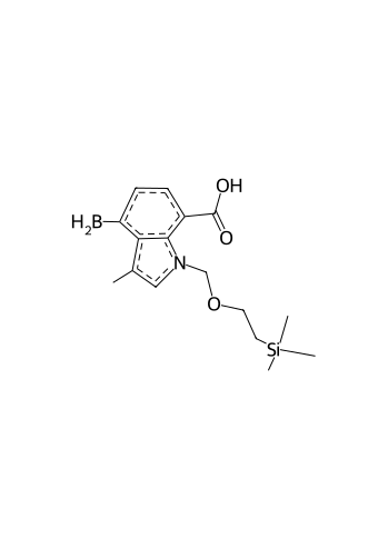 Bc1ccc(C(=O)O)c2c1c(C)cn2COCC[Si](C)(C)C